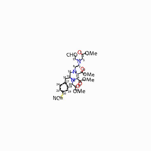 COC(=O)CN(CC=O)CCN(CC(=O)OC)CC(Cc1ccc(SC#N)cc1)N(CC(=O)OC)CC(=O)OC